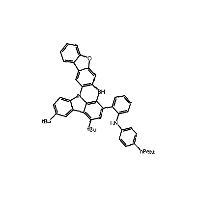 CCCCCc1ccc(Nc2ccccc2-c2cc(C(C)(C)C)c3c4cc(C(C)(C)C)ccc4n4c3c2Bc2cc3oc5ccccc5c3cc2-4)cc1